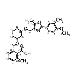 COc1ccc(-c2nc(CO[C@H]3CCCC(OCc4cccc(C)c4C(=O)O)C3)c(C)o2)cc1C